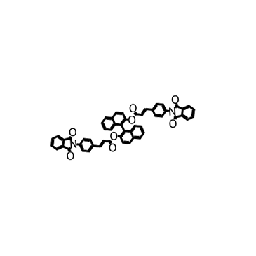 O=C(/C=C/c1ccc(N2C(=O)c3ccccc3C2=O)cc1)Oc1ccc2ccccc2c1-c1c(OC(=O)/C=C/c2ccc(N3C(=O)c4ccccc4C3=O)cc2)ccc2ccccc12